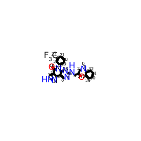 CN1CC(CNc2ncc3c4n[nH]cc4c(=O)n(-c4cccc(C(F)(F)F)c4)c3n2)Oc2ccccc21